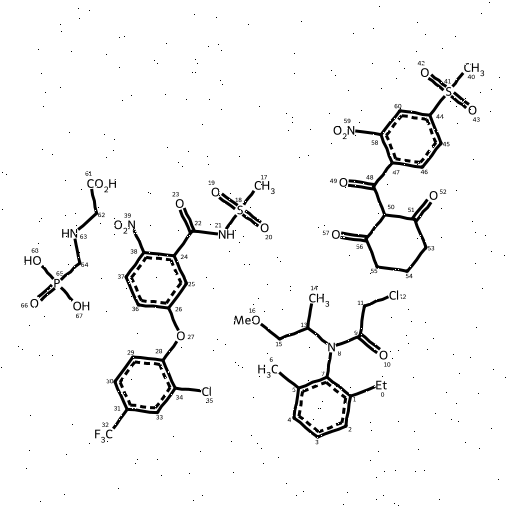 CCc1cccc(C)c1N(C(=O)CCl)C(C)COC.CS(=O)(=O)NC(=O)c1cc(Oc2ccc(C(F)(F)F)cc2Cl)ccc1[N+](=O)[O-].CS(=O)(=O)c1ccc(C(=O)C2C(=O)CCCC2=O)c([N+](=O)[O-])c1.O=C(O)CNCP(=O)(O)O